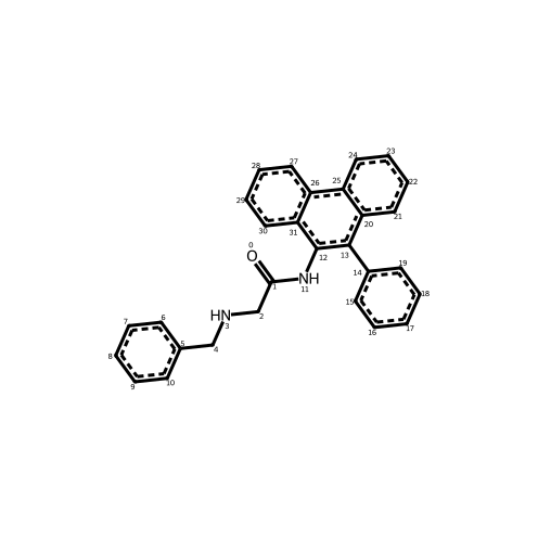 O=C(CNCc1ccccc1)Nc1c(-c2ccccc2)c2ccccc2c2ccccc12